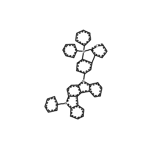 c1ccc(-n2c3ccccc3c3c4c5ccccc5n(-c5ccc6c(c5)-c5ccccc5[Si]6(c5ccccc5)c5ccccc5)c4ccc32)cc1